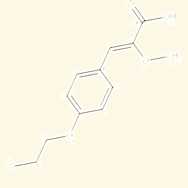 COC(=Cc1ccc(OCCCl)cc1)C(=O)O